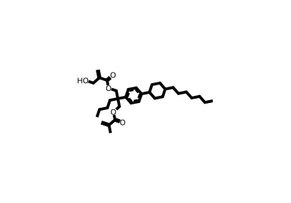 C=C(C)C(=O)OCC(CCCC)(COC(=O)C(=C)CO)c1ccc(C2CCC(CCCCCCC)CC2)cc1